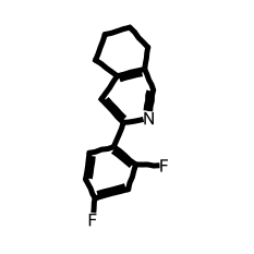 Fc1ccc(-c2cc3c(cn2)CCCC3)c(F)c1